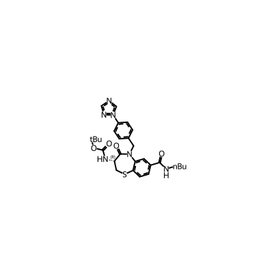 CCCCNC(=O)c1ccc2c(c1)N(Cc1ccc(-n3cncn3)cc1)C(=O)[C@@H](NC(=O)OC(C)(C)C)CS2